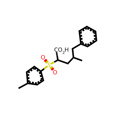 Cc1ccc(S(=O)(=O)C(CC(C)Cc2ccccc2)C(=O)O)cc1